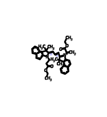 C=C(C(=O)OCC)[N+]1=C(/C=C/C=C2\N(CCC(=O)OCC)c3ccc4ccccc4c3C2(C)C)C(C)(C)c2c1ccc1ccccc21